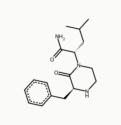 CC(C)C[C@@H](C(N)=O)N1CCN[C@@H](Cc2ccccc2)C1=O